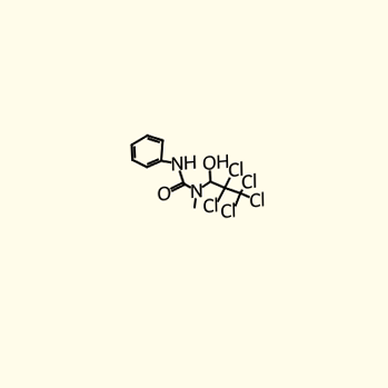 CN(C(=O)Nc1ccccc1)C(O)C(Cl)(Cl)C(Cl)(Cl)Cl